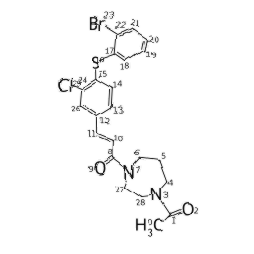 CC(=O)N1CCCN(C(=O)C=Cc2ccc(Sc3ccccc3Br)c(Cl)c2)CC1